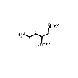 CCCCCCCC(CCN)CCCCCC